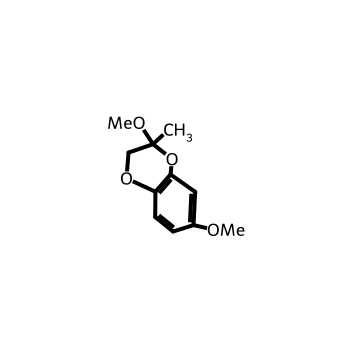 COc1ccc2c(c1)OC(C)(OC)CO2